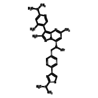 CCCN(Cc1ccc(-c2csc(N(C)C)n2)cc1)c1cc(C)nc2c(-c3cnc(N(C)C)cc3C)c(C)nn12